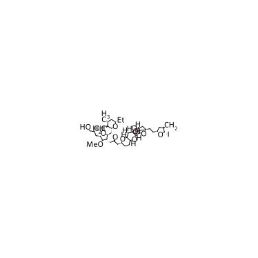 C=C1C[C@H](CC[C@]23C[C@H]4O[C@H]5[C@@H](O2)[C@H]2O[C@H](CC(=O)C[C@@H]6[C@@H](OC)[C@@H](C[C@H](O)CO)O[C@H]6C[C@H]6O[C@@H](CC)C[C@@H](C)C6=C)CC[C@@H]2O[C@H]5[C@@H]4O3)O[C@H]1I